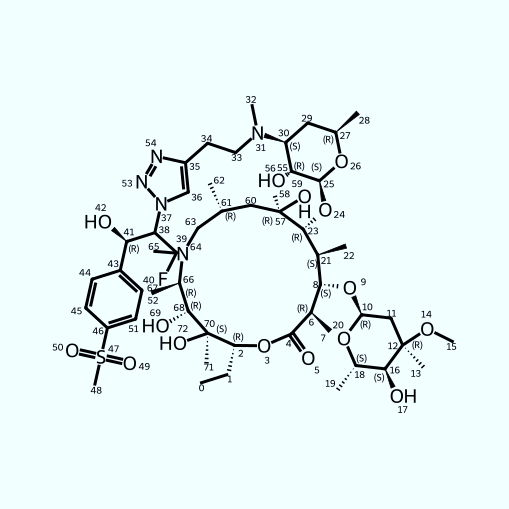 CC[C@H]1OC(=O)[C@H](C)[C@@H](O[C@H]2C[C@@](C)(OC)[C@@H](O)[C@H](C)O2)[C@H](C)[C@@H](O[C@@H]2O[C@H](C)C[C@H](N(C)CCc3cn(C(CF)[C@H](O)c4ccc(S(C)(=O)=O)cc4)nn3)[C@H]2O)[C@](C)(O)C[C@@H](C)CN(C)[C@H](C)[C@@H](O)[C@]1(C)O